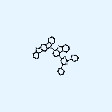 c1ccc(-c2nc(-c3ccccc3)nc(-c3ccc(-n4c5ccccc5c5cc6sc7ccccc7c6cc54)c4sc5ccccc5c34)n2)cc1